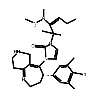 CC/C=C(/N(C)NC)C(C)(C)n1ccn(C2=C3CNCCC3=NCC[C@H]2c2cc(C)c(Cl)c(C)c2)c1=O